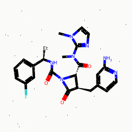 CC[C@@H](NC(=O)N1C(=O)[C@H](Cc2ccnc(N)c2)[C@H]1C(=O)N(C)c1nccn1C)c1cccc(F)c1